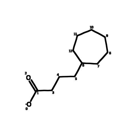 [O]C(=O)CCCC1CCCCCC1